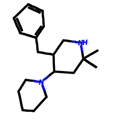 CC1(C)CC(N2CCCCC2)C(Cc2ccccc2)CN1